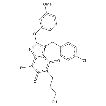 CCn1c(=O)n(CCCO)c(=O)c2c1nc(Oc1cccc(OC)c1)n2Cc1ccc(Cl)cc1